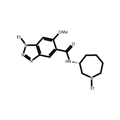 CCN1CCCC[C@@H](NC(=O)c2cc3nnn(CC)c3cc2OC)C1